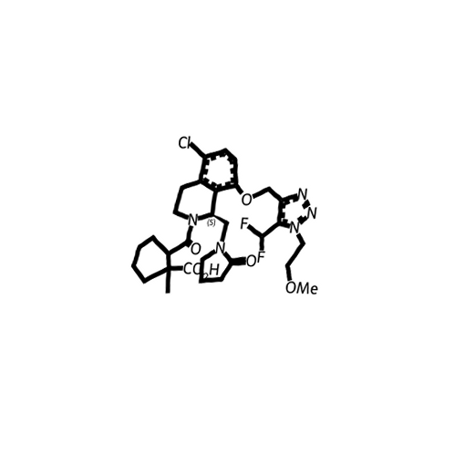 COCCn1nnc(COc2ccc(Cl)c3c2[C@@H](CN2CCCC2=O)N(C(=O)C2CCCCC2(C)C(=O)O)CC3)c1C(F)F